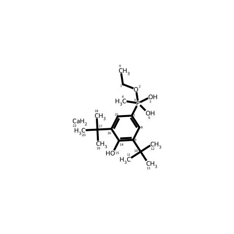 CCOP(C)(O)(O)c1cc(C(C)(C)C)c(O)c(C(C)(C)C)c1.[CaH2]